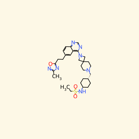 CCS(=O)(=O)N[C@H]1CC[C@H](CN2CCC3(CC2)CN(c2ncnc4ccc(CCc5nc(C)no5)cc24)C3)CC1